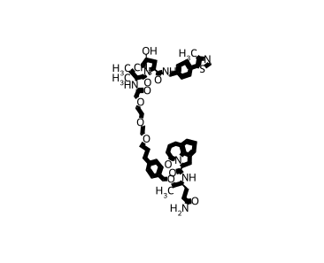 Cc1ncsc1-c1ccc(CNC(=O)[C@@H]2C[C@@H](O)CN2C(=O)[C@@H](NC(=O)COCCOCCOCCCc2ccc(CO[C@H](C)[C@H](CCC(N)=O)NC(=O)[C@@H]3Cc4cccc5c4N3C(=O)CCC5)cc2)C(C)(C)C)cc1